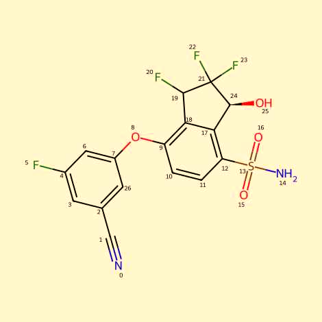 N#Cc1cc(F)cc(Oc2ccc(S(N)(=O)=O)c3c2C(F)C(F)(F)[C@H]3O)c1